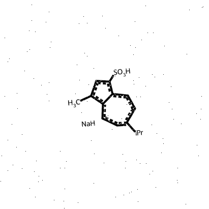 Cc1cc(S(=O)(=O)O)c2ccc(C(C)C)ccc1-2.[NaH]